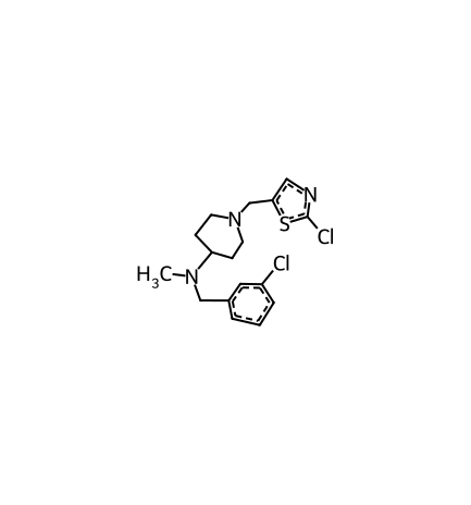 CN(Cc1cccc(Cl)c1)C1CCN(Cc2cnc(Cl)s2)CC1